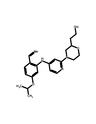 CC(C)Oc1ccc(C=N)c(Nc2ccnc(N3CCOC(CCO)C3)c2)c1